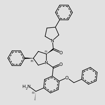 C[C@H](N)c1ccc(OCc2ccccc2)c(C(=O)N2C[C@@H](c3ccccc3)C[C@H]2C(=O)N2CCC(c3ccccc3)C2)c1